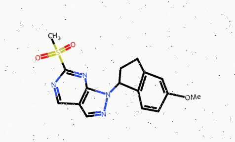 COc1ccc2c(c1)CCC2n1ncc2cnc(S(C)(=O)=O)nc21